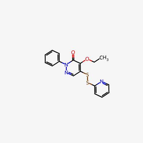 CCOc1c(SSc2ccccn2)cnn(-c2ccccc2)c1=O